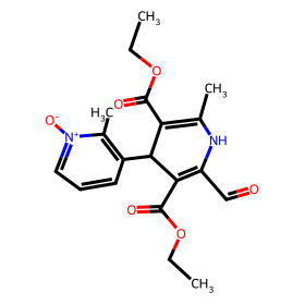 CCOC(=O)C1=C(C)NC(C=O)=C(C(=O)OCC)C1c1ccc[n+]([O-])c1C